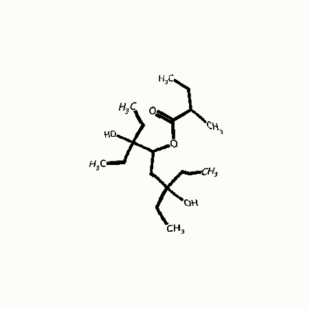 CCC(C)C(=O)OC(CC(O)(CC)CC)C(O)(CC)CC